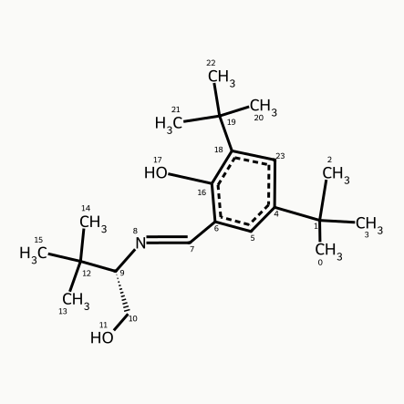 CC(C)(C)c1cc(/C=N/[C@H](CO)C(C)(C)C)c(O)c(C(C)(C)C)c1